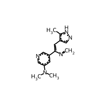 C=N/C(=C\c1cn[nH]c1C)c1cncc(N(C)C)c1